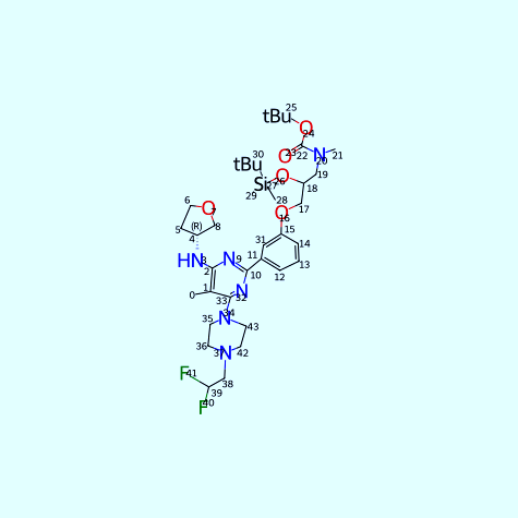 Cc1c(N[C@@H]2CCOC2)nc(-c2cccc(OCC(CN(C)C(=O)OC(C)(C)C)O[Si](C)(C)C(C)(C)C)c2)nc1N1CCN(CC(F)F)CC1